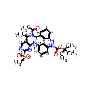 CC(=O)N(Cc1ccccc1)C(C)c1cnc(S(C)(=O)=O)nc1Nc1cccc(NC(=O)OC(C)(C)C)c1